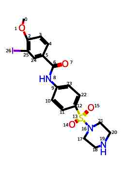 COc1ccc(C(=O)Nc2ccc(S(=O)(=O)N3CCNCC3)cc2)cc1I